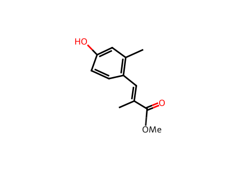 COC(=O)/C(C)=C/c1ccc(O)cc1C